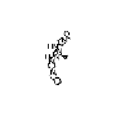 CC(=O)N1CCC(Nc2cc(C(=O)N3CCC(N4CCc5ccccc5C4)CC3)nc(C3CC3)n2)CC1